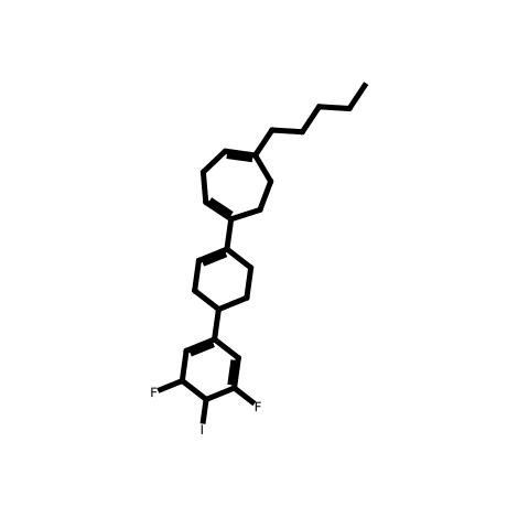 CCCCCC1=CCC=C(C2=CCC(C3=CC(F)C(I)C(F)=C3)CC2)CC1